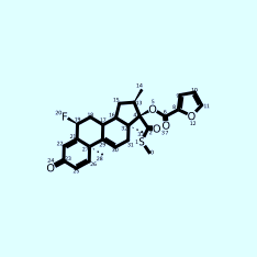 CSC(=O)[C@@]1(OC(=O)c2ccco2)[C@H](C)CC2C3C[C@H](F)C4=CC(=O)C=C[C@]4(C)C3=CC[C@@]21C